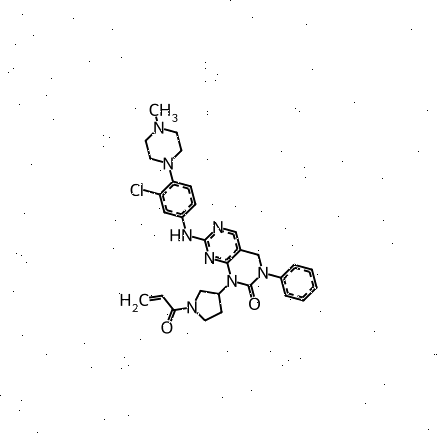 C=CC(=O)N1CCC(N2C(=O)N(c3ccccc3)Cc3cnc(Nc4ccc(N5CCN(C)CC5)c(Cl)c4)nc32)C1